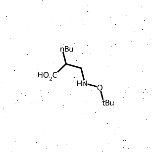 CCCCC(CNOC(C)(C)C)C(=O)O